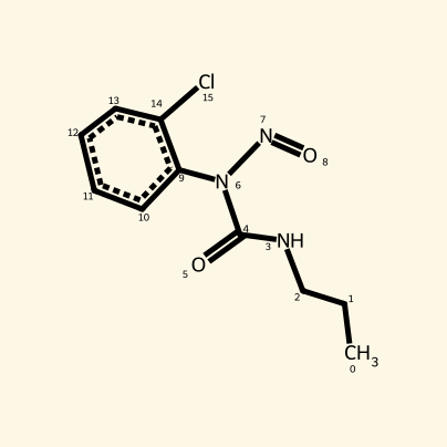 CCCNC(=O)N(N=O)c1ccccc1Cl